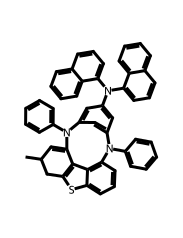 CC1C=C2c3c(sc4cccc(c34)N(c3ccccc3)c3cc(cc(N(c4cccc5ccccc45)c4cccc5ccccc45)c3)N2c2ccccc2)C1